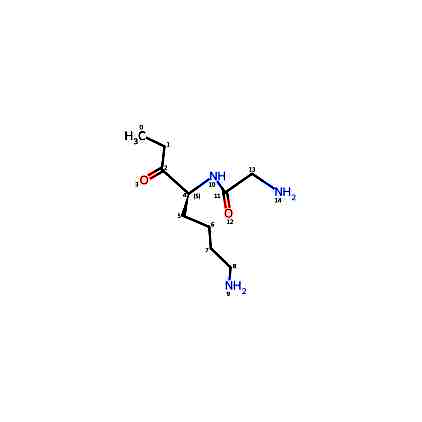 CCC(=O)[C@H](CCCCN)NC(=O)CN